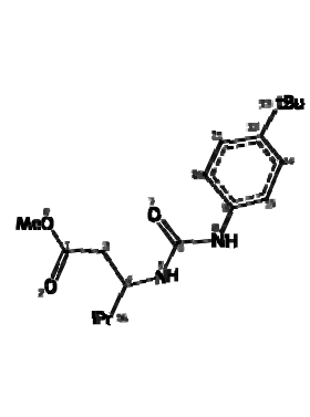 COC(=O)CC(NC(=O)Nc1ccc(C(C)(C)C)cc1)C(C)C